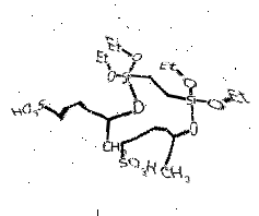 CCO[Si](CC[Si](OCC)(OCC)OC(C)CCS(=O)(=O)O)(OCC)OC(C)CCS(=O)(=O)O